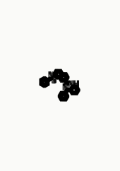 C1=CC2=C(c3ccccc3)N=C(c3ccc4ccc5nc(-c6ccccc6)sc5c4c3)NC2C=C1